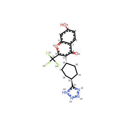 O=c1c2ccc(O)cc2oc(C(F)(F)F)c1[C@H]1CC[C@H](c2nnn[nH]2)CC1